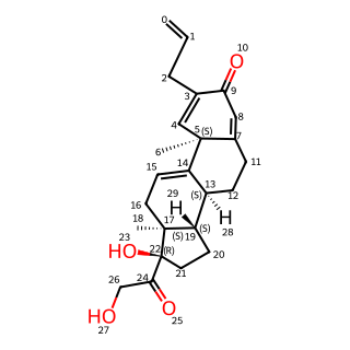 C=CCC1=C[C@@]2(C)C(=CC1=O)CC[C@@H]1C2=CC[C@@]2(C)[C@H]1CC[C@]2(O)C(=O)CO